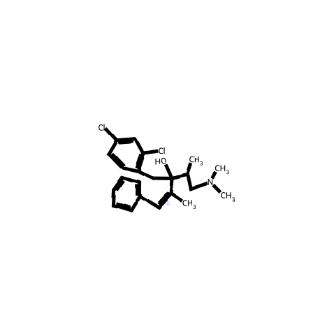 C/C(=C/c1ccccc1)C(O)(Cc1ccc(Cl)cc1Cl)C(C)CN(C)C